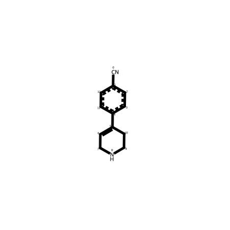 N#Cc1ccc(C2=CCNCC2)cc1